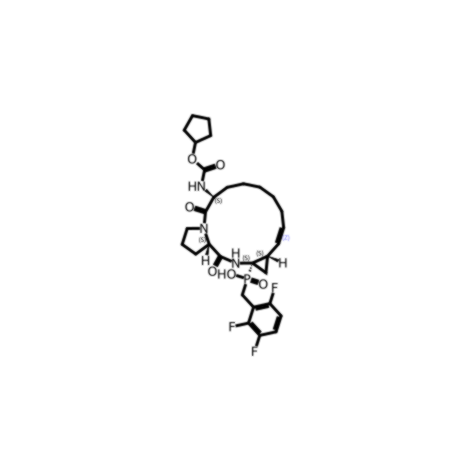 O=C(N[C@H]1CCCCC/C=C\[C@@H]2C[C@@]2(P(=O)(O)Cc2c(F)ccc(F)c2F)NC(=O)[C@@H]2CCCN2C1=O)OC1CCCC1